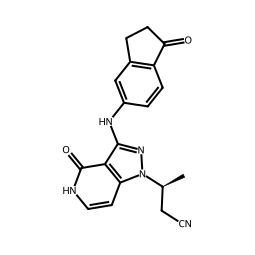 C[C@@H](CC#N)n1nc(Nc2ccc3c(c2)CCC3=O)c2c(=O)[nH]ccc21